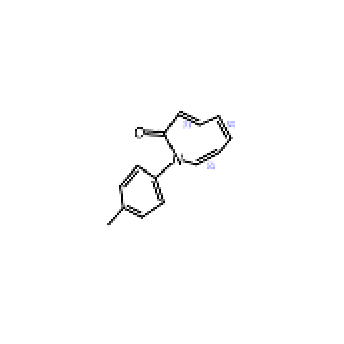 Cc1ccc(N2\C=C/C=C\C=C\C2=O)cc1